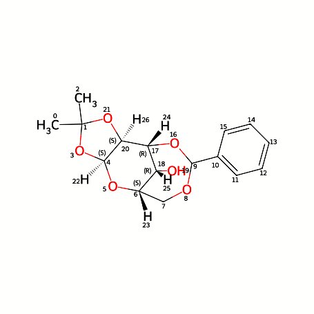 CC1(C)O[C@@H]2O[C@H]3COC(c4ccccc4)O[C@H]([C@@H]3O)[C@@H]2O1